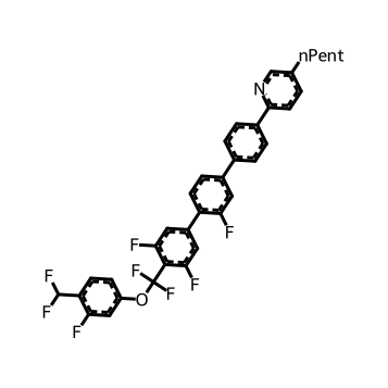 CCCCCc1ccc(-c2ccc(-c3ccc(-c4cc(F)c(C(F)(F)Oc5ccc(C(F)F)c(F)c5)c(F)c4)c(F)c3)cc2)nc1